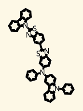 c1ccc(N(c2ccc3nc(-c4ccc5sc(-n6c7ccccc7c7ccccc76)nc5c4)sc3c2)c2ccc3c(c2)c2ccccc2n3-c2ccccc2)cc1